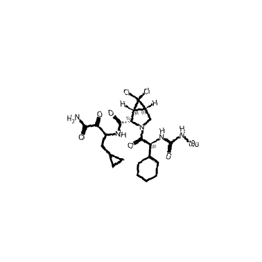 CC(C)(C)NC(=O)N[C@H](C(=O)N1C[C@@H]2[C@H]([C@H]1C(=O)NC(CC1CC1)C(=O)C(N)=O)C2(Cl)Cl)C1CCCCC1